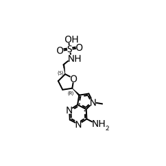 Cn1cc([C@H]2CC[C@@H](CNS(=O)(=O)O)O2)c2ncnc(N)c21